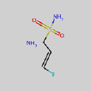 N.NS(=O)(=O)CC=CF